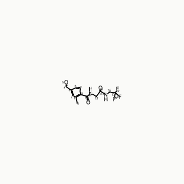 Cc1cc(C=O)ccc1C(=O)NCC(=O)NCC(F)(F)F